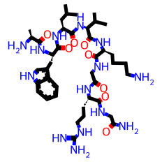 CC(C)C[C@H](NC(=O)[C@H](Cc1c[nH]c2ccccc12)NC(=O)[C@H](C)N)C(=O)N[C@H](C(=O)N[C@@H](CCCCN)C(=O)NCC(=O)N[C@@H](CCCNC(=N)N)C(=O)NCC(N)=O)C(C)C